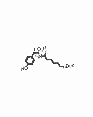 CCCCCCCCCCCCCCCC(=O)N[C@H](Cc1ccc(O)cc1)C(=O)O